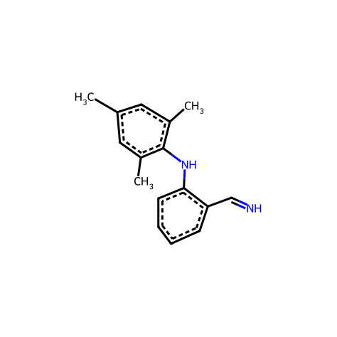 Cc1cc(C)c(Nc2ccccc2C=N)c(C)c1